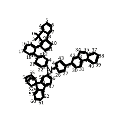 CC1(C)c2ccccc2-c2cccc(-c3ccccc3-c3ccc(N(c4ccc(-c5ccc6c(ccc7ccccc76)c5)cc4)c4ccc5c(c4)C4(CC6CCC4C6)c4ccccc4-5)cc3)c21